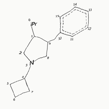 CC(C)C1CN(C2CCC2)CC1c1ccccc1